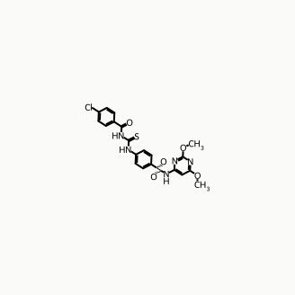 COc1cc(NS(=O)(=O)c2ccc(NC(=S)NC(=O)c3ccc(Cl)cc3)cc2)nc(OC)n1